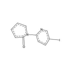 O=c1ccccn1-c1ccc(I)cn1